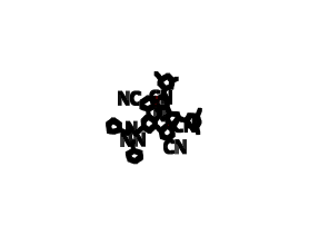 Cc1cc(C)cc(-c2ccc3c(c2)c2cc(-c4cc(C)cc(C)c4)ccc2n3-c2c(-c3cc(C#N)cc(C#N)c3)cc(-c3nc(-c4ccccc4)nc(-c4ccccc4)n3)cc2-c2cc(C#N)cc(C#N)c2)c1